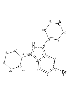 Brc1ccc2c(c1)c(C1=CCOCC1)nn2C1CCCCO1